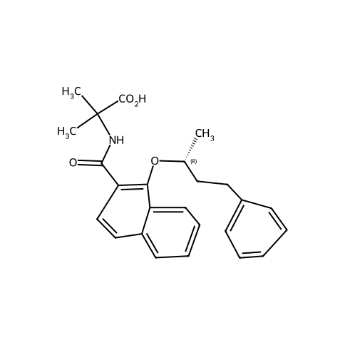 C[C@H](CCc1ccccc1)Oc1c(C(=O)NC(C)(C)C(=O)O)ccc2ccccc12